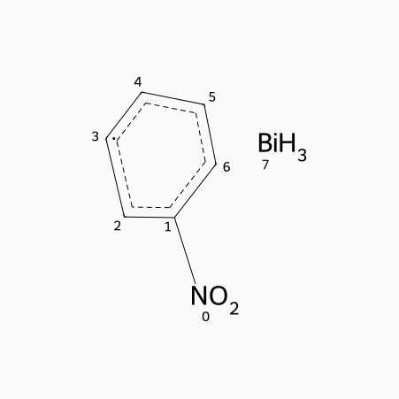 O=[N+]([O-])c1c[c]ccc1.[BiH3]